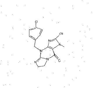 Cn1c(C#N)nc2c1C(=O)N1CCN=C1N2Cc1ccc(Cl)cc1